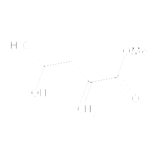 C=C(CC(C)O)C(=O)OC